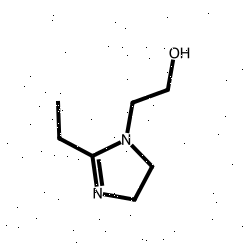 CCC1=NCCN1CCO